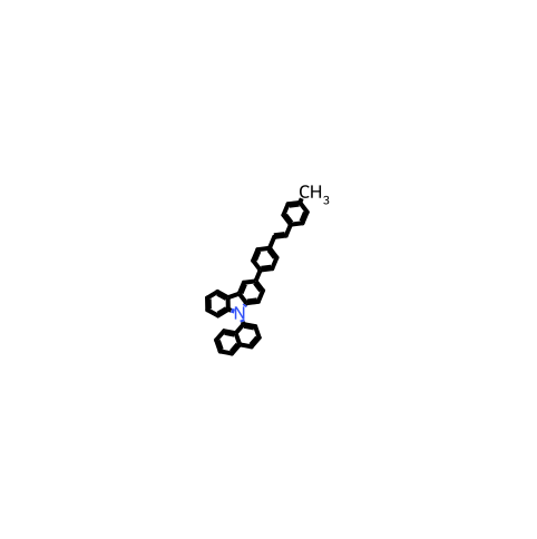 Cc1ccc(/C=C/c2ccc(-c3ccc4c(c3)c3ccccc3n4-c3cccc4ccccc34)cc2)cc1